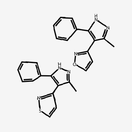 Cc1n[nH]c(-c2ccccc2)c1-c1ccon1.Cc1n[nH]c(-c2ccccc2)c1-c1ccsn1